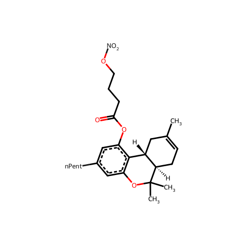 CCCCCc1cc(OC(=O)CCCO[N+](=O)[O-])c2c(c1)OC(C)(C)[C@@H]1CC=C(C)C[C@@H]21